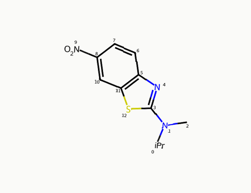 CC(C)N(C)c1nc2ccc([N+](=O)[O-])cc2s1